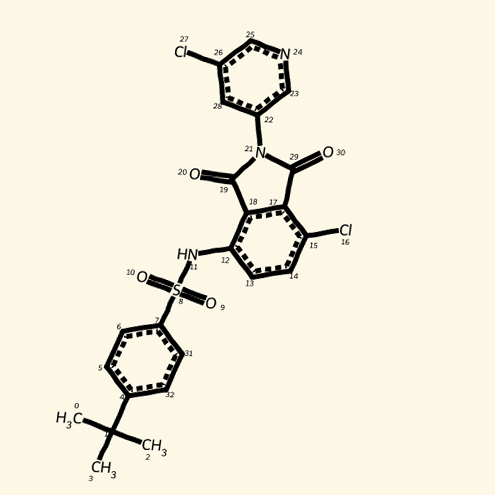 CC(C)(C)c1ccc(S(=O)(=O)Nc2ccc(Cl)c3c2C(=O)N(c2cncc(Cl)c2)C3=O)cc1